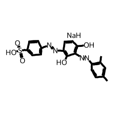 Cc1ccc(/N=N/c2c(O)ccc(/N=N/c3ccc(S(=O)(=O)O)cc3)c2O)c(C)c1.[NaH]